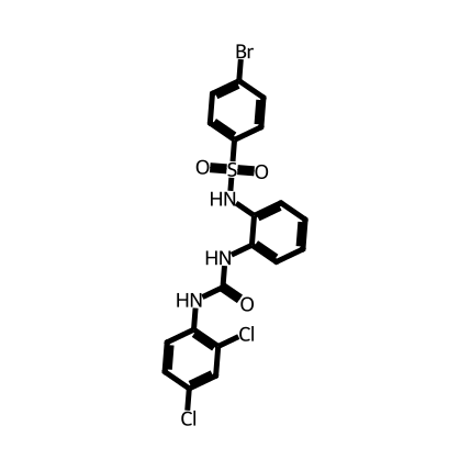 O=C(Nc1ccc(Cl)cc1Cl)Nc1ccccc1NS(=O)(=O)c1ccc(Br)cc1